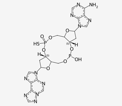 Nc1ncnc2c1ncn2C1C[C@@H]2OP(O)OCC3OC(n4cnc5c4ncn4ncnc54)C[C@@H]3OP(=O)(S)OCC2O1